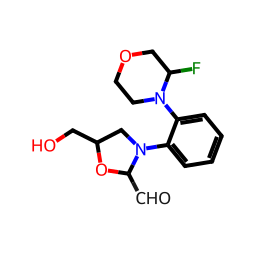 O=CC1OC(CO)CN1c1ccccc1N1CCOCC1F